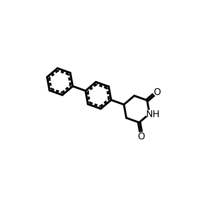 O=C1CC(c2ccc(-c3ccccc3)cc2)CC(=O)N1